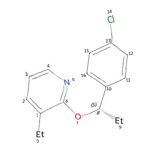 CCc1cccnc1O[C@@H](CC)c1ccc(Cl)cc1